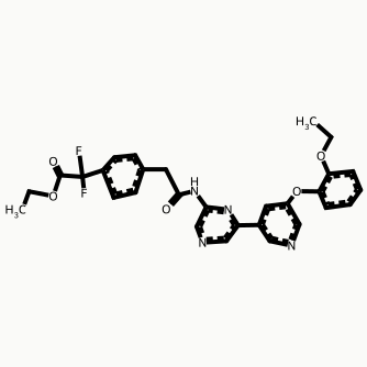 CCOC(=O)C(F)(F)c1ccc(CC(=O)Nc2cncc(-c3cncc(Oc4ccccc4OCC)c3)n2)cc1